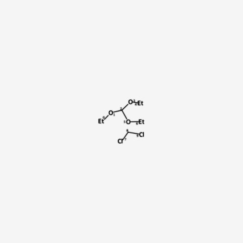 CCOC(OCC)OCC.ClCCl